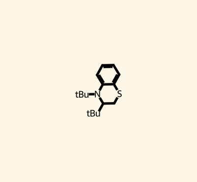 CC(C)(C)C1CSc2ccccc2N1C(C)(C)C